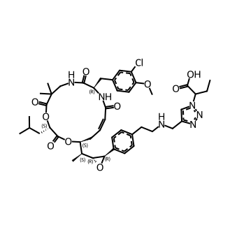 CCC(C(=O)O)n1cc(CNCCc2ccc([C@H]3O[C@@H]3[C@@H](C)[C@@H]3CC=CC(=O)N[C@H](Cc4ccc(OC)c(Cl)c4)C(=O)NCC(C)(C)C(=O)O[C@@H](CC(C)C)C(=O)O3)cc2)nn1